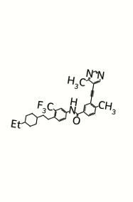 CCC1CCC(CCc2ccc(NC(=O)c3ccc(C)c(C#Cc4cncnc4C)c3)cc2C(F)(F)F)CC1